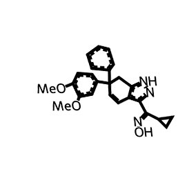 COc1ccc(C2(c3ccccc3)C=Cc3c(C(=NO)C4CC4)n[nH]c3C2)cc1OC